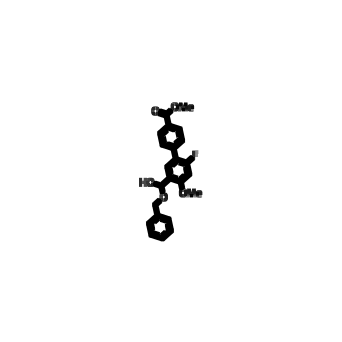 COC(=O)c1ccc(-c2cc(C(O)OCc3ccccc3)c(OC)cc2F)cc1